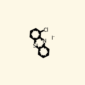 Clc1cccc2[s+]c3ccccc3nc12.[I-]